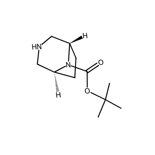 CC(C)(C)OC(=O)N1[C@H]2CC[C@H]1CNC2